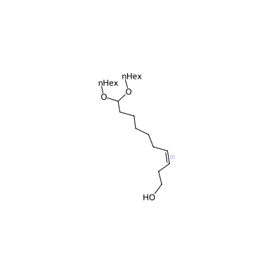 CCCCCCOC(CCCCC/C=C\CCO)OCCCCCC